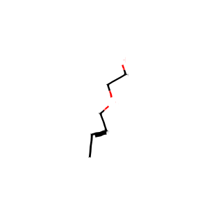 CC=CCOCCO